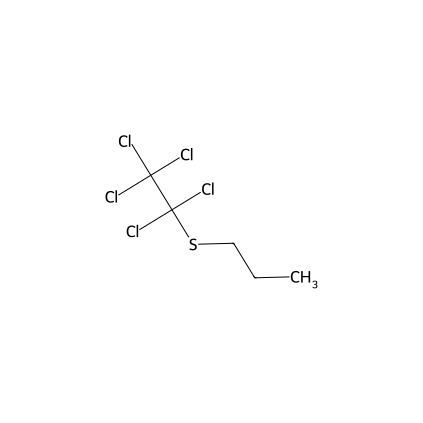 CCCSC(Cl)(Cl)C(Cl)(Cl)Cl